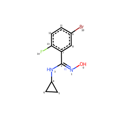 O/N=C(/NC1CC1)c1cc(Br)ccc1F